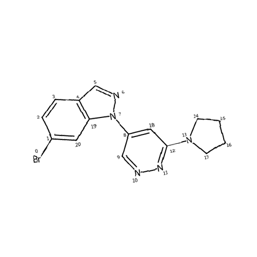 Brc1ccc2cnn(-c3cnnc(N4CCCC4)c3)c2c1